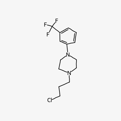 FC(F)(F)c1cccc(N2CCN(CCCCl)CC2)c1